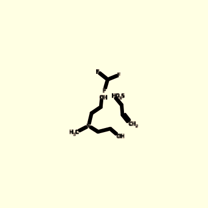 C=CCS(=O)(=O)O.CN(CCO)CCO.FC(F)F